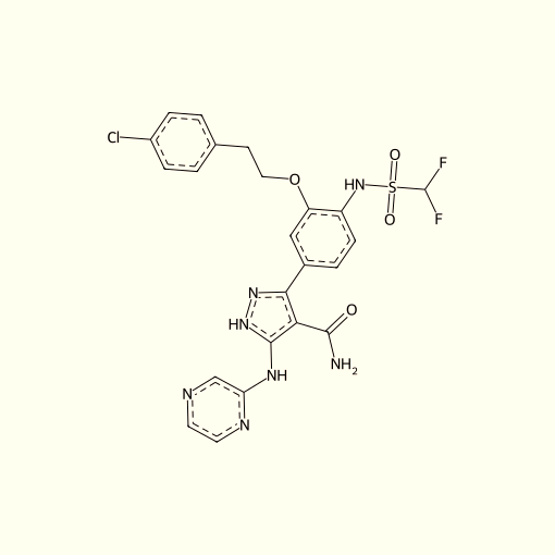 NC(=O)c1c(-c2ccc(NS(=O)(=O)C(F)F)c(OCCc3ccc(Cl)cc3)c2)n[nH]c1Nc1cnccn1